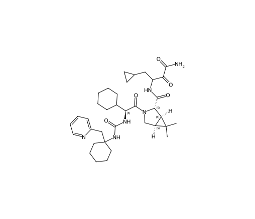 CC1(C)[C@@H]2[C@@H](C(=O)NC(CC3CC3)C(=O)C(N)=O)N(C(=O)[C@@H](NC(=O)NC3(Cc4ccccn4)CCCCC3)C3CCCCC3)C[C@@H]21